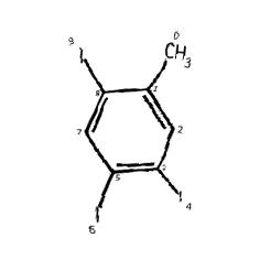 Cc1cc(I)c(I)cc1I